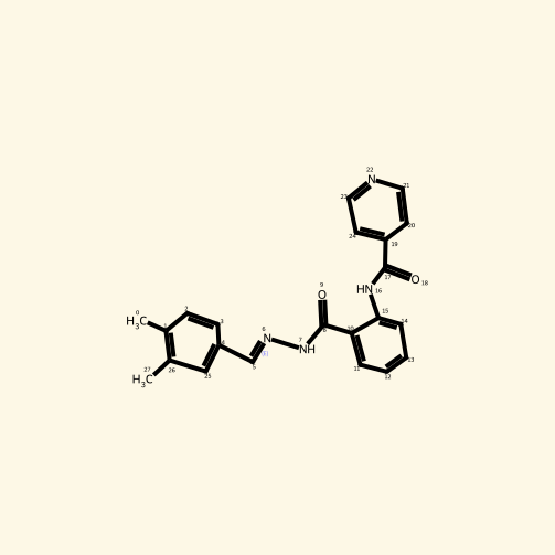 Cc1ccc(/C=N/NC(=O)c2ccccc2NC(=O)c2ccncc2)cc1C